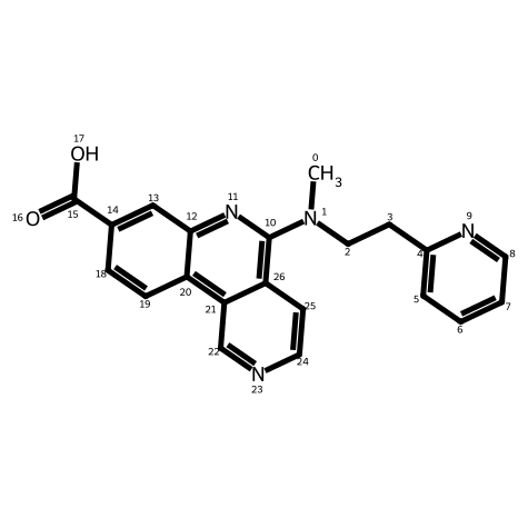 CN(CCc1ccccn1)c1nc2cc(C(=O)O)ccc2c2cnccc12